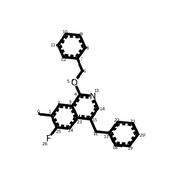 Cc1cc2c(OCc3ccccc3)ncc(Cc3ccccc3)c2cc1F